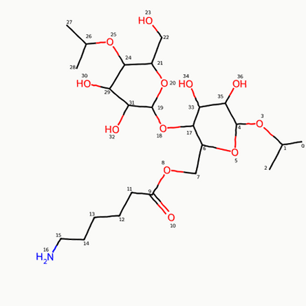 CC(C)OC1OC(COC(=O)CCCCCN)C(OC2OC(CO)C(OC(C)C)C(O)C2O)C(O)C1O